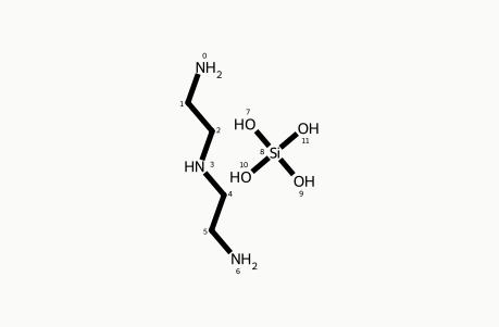 NCCNCCN.O[Si](O)(O)O